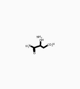 N.NC(=O)C(O)CC(=O)O